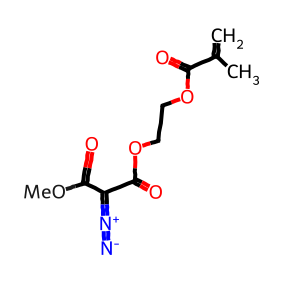 C=C(C)C(=O)OCCOC(=O)C(=[N+]=[N-])C(=O)OC